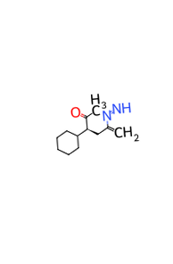 C=C(C[C@H](C(C)=O)C1CCCCC1)N=N